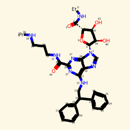 CCNC(=O)[C@H]1O[C@@H](n2cnc3c(NCC(c4ccccc4)c4ccccc4)nc(C(=O)NCCCNC(C)C)nc32)[C@H](O)[C@@H]1O